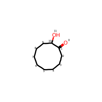 O=C1CCCCCCCCC1O